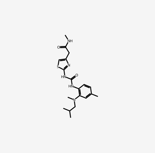 CNC(=O)Cc1csc(NC(=O)Nc2ccc(C)cc2N(C)CC(C)C)n1